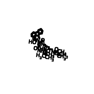 CC(C)(C)OC(=O)NCCC[C@H](CNC(=O)[C@H](CCC(N)=O)N(CC1c2ccccc2-c2ccccc21)C(=O)O)NC(=O)OC(C)(C)C